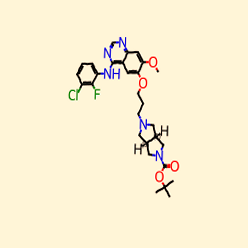 COc1cc2ncnc(Nc3cccc(Cl)c3F)c2cc1OCCCN1C[C@@H]2CN(C(=O)OC(C)(C)C)C[C@@H]2C1